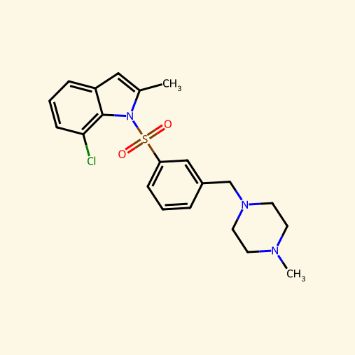 Cc1cc2cccc(Cl)c2n1S(=O)(=O)c1cccc(CN2CCN(C)CC2)c1